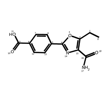 CCc1oc(-c2ccc(C(=O)O)cc2)nc1C(N)=O